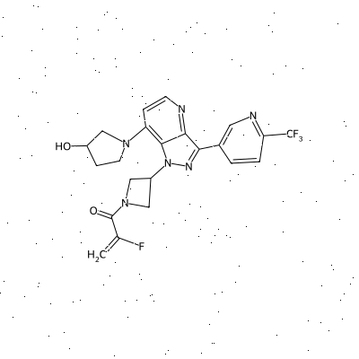 C=C(F)C(=O)N1CC(n2nc(-c3ccc(C(F)(F)F)nc3)c3nccc(N4CCC(O)C4)c32)C1